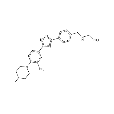 O=C(O)CNCc1ccc(-c2nc(-c3ccc(N4CCC(F)CC4)c(C(F)(F)F)c3)no2)cc1